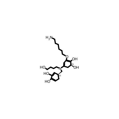 NCCCCCCOC1=C(O)[C@@H](O)CC(N(CCCCO)C[C@@H]2C=C(O)C(O)=CC2)=C1